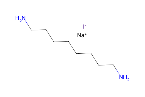 NCCCCCCCCN.[I-].[Na+]